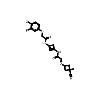 CC1(C#N)CC(OCC(=O)NC23CC(NC(=O)COc4ccc(Cl)c(F)c4)(C2)C3)C1